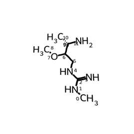 CNC(=N)NCC(OC)[C@H](C)N